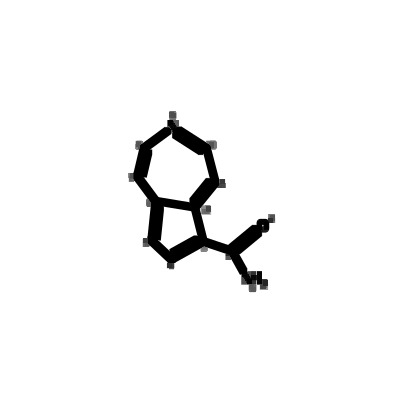 NC(=O)c1ccc2ccnccc1-2